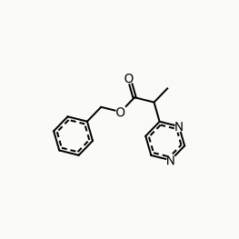 CC(C(=O)OCc1ccccc1)c1ccncn1